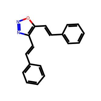 C(=C\c1nnoc1/C=C/c1ccccc1)/c1ccccc1